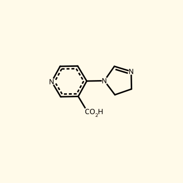 O=C(O)c1cnccc1N1C=NCC1